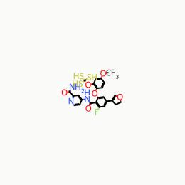 NC(=O)c1cc(NC(=O)c2c(F)cc(C3=COCC3)cc2Oc2ccc(OC(F)(F)F)cc2OC(S)(S)S)ccn1